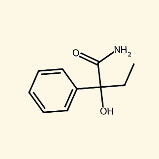 CCC(O)(C(N)=O)c1ccccc1